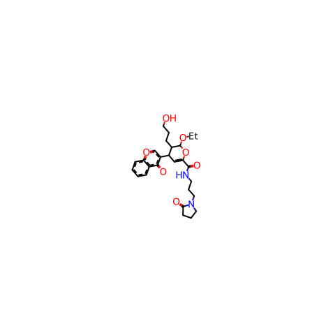 CCOC1OC(C(=O)NCCCN2CCCC2=O)=CC(c2coc3ccccc3c2=O)C1CCCO